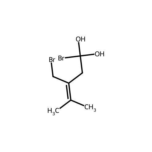 CC(C)=C(CBr)CC(O)(O)Br